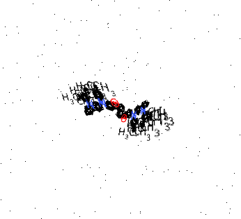 CC(C)c1ccc(N(c2ccc3c(c2)oc2ccc4c(ccc5oc6cc(N(c7ccc(C(C)C)cc7)c7ccc8c9ccccc9n(-c9cc(C(C)(C)C)cc(C(C)(C)C)c9)c8c7)ccc6c54)c23)c2ccc3c4ccccc4n(-c4cc(C(C)(C)C)cc(C(C)(C)C)c4)c3c2)cc1